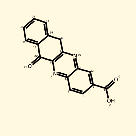 O=C(O)c1ccc2nc3c(nc2c1)Cc1ccccc1C3=O